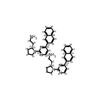 NCC[C@@H]1CCCN1c1nccc(-c2ccc3ccccc3c2)n1.NCC[C@@H]1CCCN1c1nccc(-c2ccc3ccccc3c2)n1